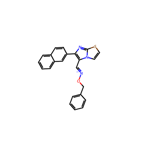 C(=N\OCc1ccccc1)/c1c(-c2ccc3ccccc3c2)nc2sccn12